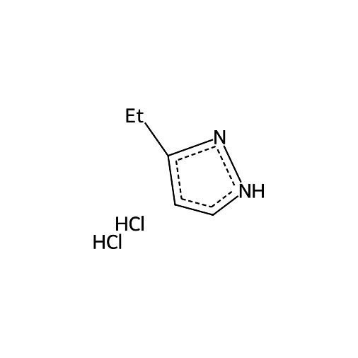 CCc1cc[nH]n1.Cl.Cl